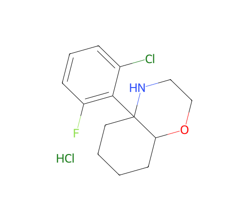 Cl.Fc1cccc(Cl)c1C12CCCCC1OCCN2